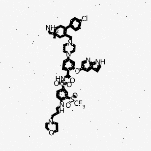 CC1(CN)CCC(c2ccc(Cl)cc2)=C(CN2CCN(c3ccc(C(=O)NS(=O)(=O)c4ccc(NCCCN5CCOCC5)c(S(=O)(=O)C(F)(F)F)c4)c(Oc4cnc5[nH]ccc5c4)c3)CC2)C1